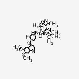 COc1cc2nccc(Oc3ccc(NC(=O)Nc4[nH]c(C(C)(C)C)nc4-c4c(C)noc4C)cc3F)c2cc1OC